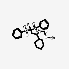 CC(C)(C)OC(=O)NC(CC(F)(S(=O)(=O)c1ccccc1)S(=O)(=O)c1ccccc1)C1CCCCC1